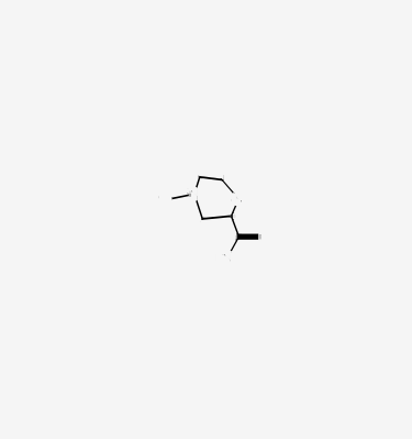 NC(=O)C1CN(C(=O)O)CCN1